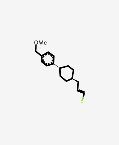 COCc1ccc([C@H]2CC[C@H](CC=CF)CC2)cc1